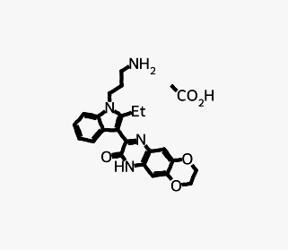 CC(=O)O.CCc1c(-c2nc3cc4c(cc3[nH]c2=O)OCCO4)c2ccccc2n1CCCN